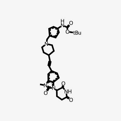 Cn1c(=O)n(C2CCC(=O)NC2=O)c2ccc(C#CC3CCN(Cc4ccc(NC(=O)OC(C)(C)C)cc4)CC3)cc21